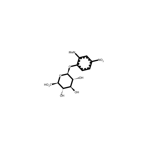 CNc1cc([N+](=O)[O-])ccc1O[C@@H]1O[C@H](C(=O)O)[C@@H](O)[C@H](O)[C@H]1O